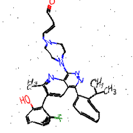 Cc1nc2c(N3CCN(C=CC=O)CC3)nnc(-c3ccccc3C(C)C)c2cc1-c1c(O)cccc1F